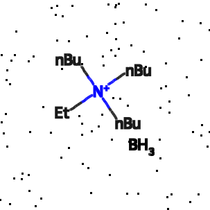 B.CCCC[N+](CC)(CCCC)CCCC